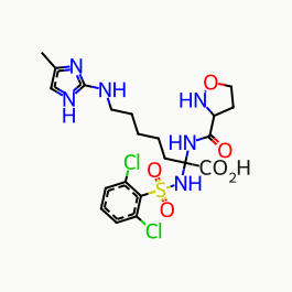 Cc1c[nH]c(NCCCCCC(NC(=O)C2CCON2)(NS(=O)(=O)c2c(Cl)cccc2Cl)C(=O)O)n1